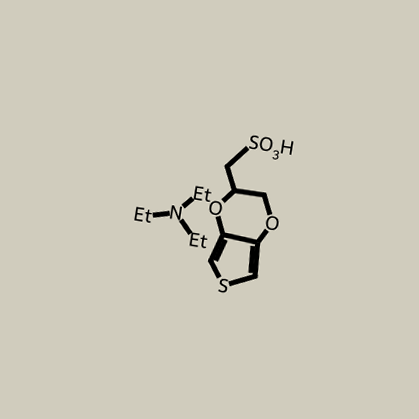 CCN(CC)CC.O=S(=O)(O)CC1COc2cscc2O1